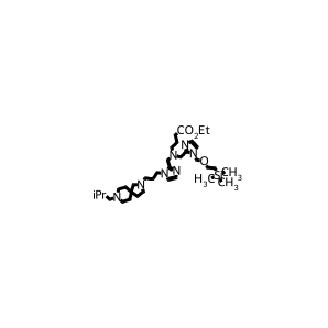 CCOC(=O)CCCN(Cc1nccn1CCCN1CCC2(CCN(CC(C)C)CC2)C1)Cc1nccn1COCC[Si](C)(C)C